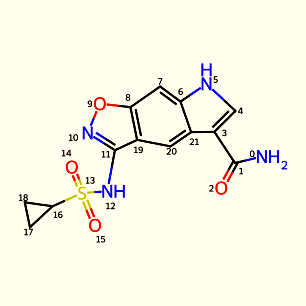 NC(=O)c1c[nH]c2cc3onc(NS(=O)(=O)C4CC4)c3cc12